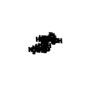 CCCCCCCCCC(N[C@@H](CCCCN)C(=O)O)C(C[C@@H](N)Cc1ccccc1C(=O)O)C(=O)O